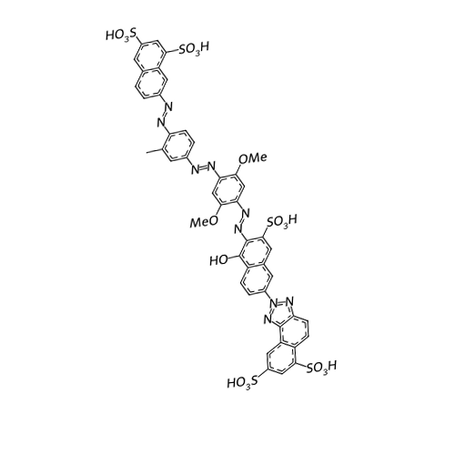 COc1cc(N=Nc2c(S(=O)(=O)O)cc3cc(-n4nc5ccc6c(S(=O)(=O)O)cc(S(=O)(=O)O)cc6c5n4)ccc3c2O)c(OC)cc1N=Nc1ccc(N=Nc2ccc3cc(S(=O)(=O)O)cc(S(=O)(=O)O)c3c2)c(C)c1